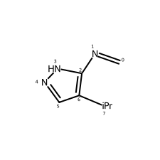 C=Nc1[nH]ncc1C(C)C